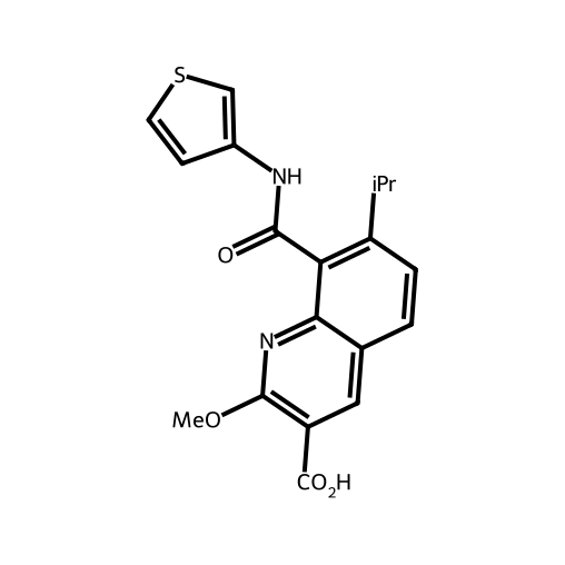 COc1nc2c(C(=O)Nc3ccsc3)c(C(C)C)ccc2cc1C(=O)O